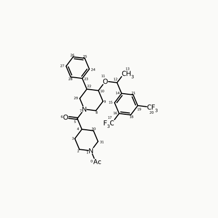 CC(=O)N1CCC(C(=O)N2CCC(OC(C)c3cc(C(F)(F)F)cc(C(F)(F)F)c3)C(c3ccccc3)C2)CC1